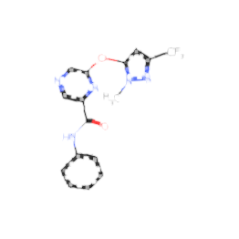 Cn1nc(C(F)(F)F)cc1Oc1cncc(C(=O)Nc2ccccc2)n1